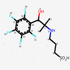 CC(C)(NCCCS(=O)(=O)O)C(O)c1c(F)c(F)c(F)c(F)c1F